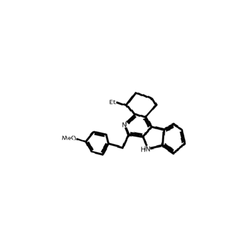 CCC1CCCc2c1nc(Cc1ccc(OC)cc1)c1[nH]c3ccccc3c21